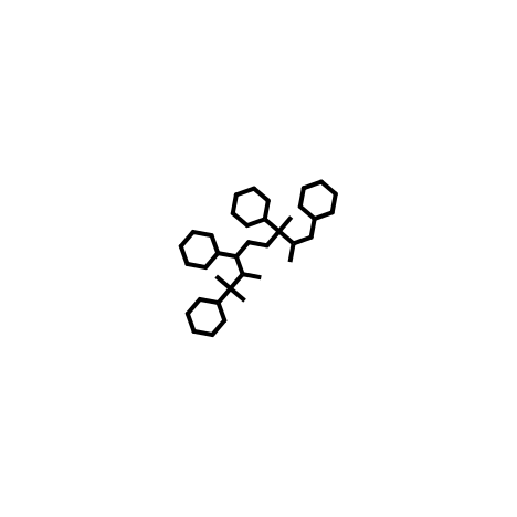 CC(C(CCC(C)(C(C)CC1CCCCC1)C1CCCCC1)C1CCCCC1)C(C)(C)C1CCCCC1